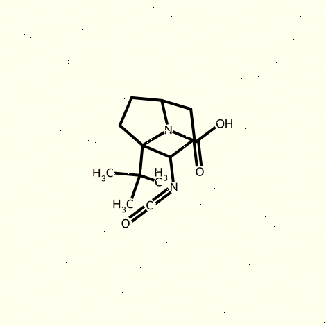 CC(C)(C)C12CCC(CCC1N=C=O)N2C(=O)O